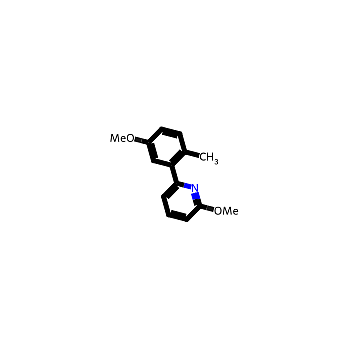 COc1ccc(C)c(-c2cccc(OC)n2)c1